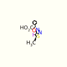 CC#Cc1sc2ncnc(O[C@H](Cc3ccccc3)C(=O)O)c2c1I